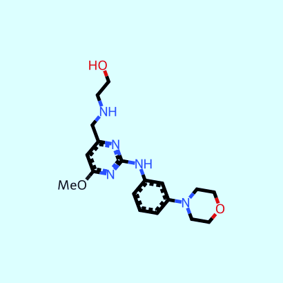 COc1cc(CNCCO)nc(Nc2cccc(N3CCOCC3)c2)n1